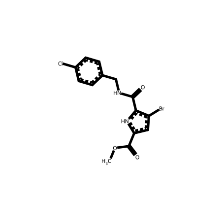 COC(=O)c1cc(Br)c(C(=O)NCc2ccc(Cl)cc2)[nH]1